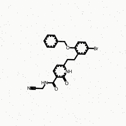 N#CCNC(=O)c1ccc(CCc2cc(Br)ccc2OCc2ccccc2)[nH]c1=O